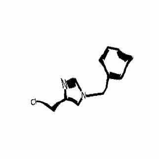 ClCc1cn(Cc2ccccc2)cn1